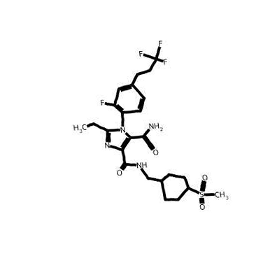 CCc1nc(C(=O)NCC2CCC(S(C)(=O)=O)CC2)c(C(N)=O)n1-c1ccc(CCC(F)(F)F)cc1F